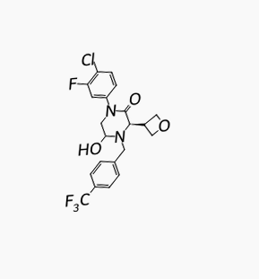 O=C1[C@@H](C2COC2)N(Cc2ccc(C(F)(F)F)cc2)C(O)CN1c1ccc(Cl)c(F)c1